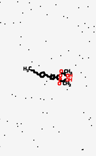 C=C(CO)C(=O)OCC(COC(=O)C(=C)CO)c1ccc(CCC2CCC(CCCCCC)CC2)cc1